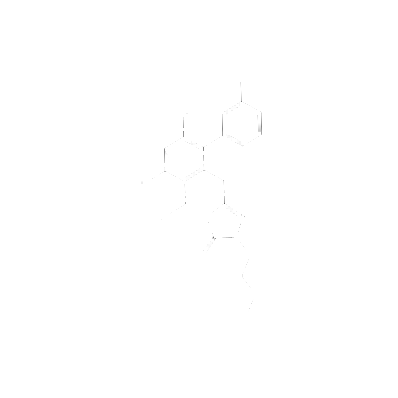 CCc1c(O)cc(O)c(-c2cccc(O)c2)c1Cc1nn(CCOC)c(=O)o1